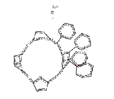 C1=Cc2cc3c(-c4ccccc4)c(-c4ccccc4)c(c(-c4ccccc4)c4nc(cc5ccc(cc1n2)[nH]5)C=C4)n3-c1ccccc1.[Cl-].[Cl-].[Fe+2]